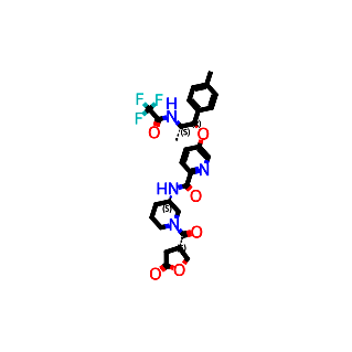 Cc1ccc([C@@H](Oc2ccc(C(=O)N[C@H]3CCCN(C(=O)[C@@H]4COC(=O)C4)C3)nc2)[C@H](C)NC(=O)C(F)(F)F)cc1